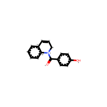 O=C(c1ccc(O)cc1)N1CC=Cc2ccccc21